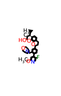 COc1cc(-c2ccc(C3CCc4ccc([C@H](C5CC5)[C@H](C)C(=O)O)cc4O3)cc2CN2C3CCC2COC3)c(F)cn1